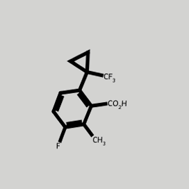 Cc1c(F)ccc(C2(C(F)(F)F)CC2)c1C(=O)O